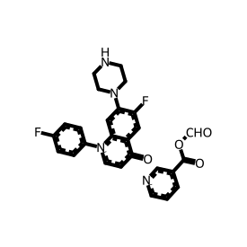 O=COC(=O)c1cccnc1.O=c1ccn(-c2ccc(F)cc2)c2cc(N3CCNCC3)c(F)cc12